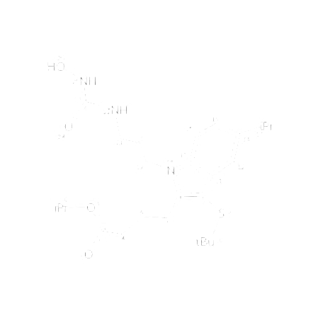 CC(C)OC(=O)CCCc1c(SC(C)(C)C)c2cc(C(C)C)ccc2n1CCCNC(=O)NO